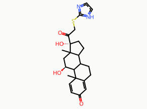 CC12C=CC(=O)C=C1CCC1C2[C@@H](O)CC2(C)C1CC[C@]2(O)C(=O)CSc1ncc[nH]1